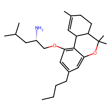 CCCCc1cc(OC[C@@H](N)CC(C)C)c2c(c1)OC(C)(C)C1CCC(C)=CC21